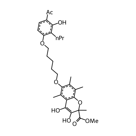 CCCc1c(OCCCCCOc2c(C)c(C)c3c(c2C)C(O)=C(O)C(C)(C(=O)OC)O3)ccc(C(C)=O)c1O